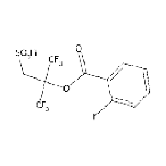 O=C(OC(CS(=O)(=O)O)(C(F)(F)F)C(F)(F)F)c1ccccc1I